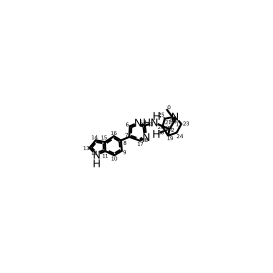 C[C@@H]1[C@@H](Nc2ncc(-c3ccc4[nH]ccc4c3)cn2)C2CCN1CC2